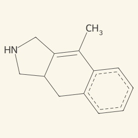 CC1=C2CNCC2Cc2ccccc21